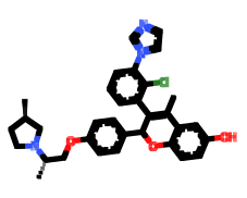 CC1=C(c2cccc(-n3ccnc3)c2Cl)C(c2ccc(OC[C@H](C)N3CC[C@@H](C)C3)cc2)Oc2ccc(O)cc21